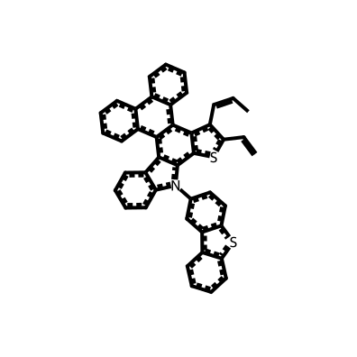 C=Cc1sc2c(c1/C=C\C)c1c3ccccc3c3ccccc3c1c1c3ccccc3n(-c3ccc4sc5ccccc5c4c3)c21